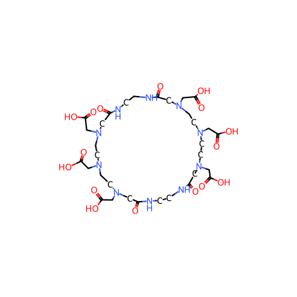 O=C(O)CN1CCN(CC(=O)O)CC(=O)NCCNC(=O)CN(CC(=O)O)CCN(CC(=O)O)CCN(CC(=O)O)CC(=O)NCCNC(=O)CN(CC(=O)O)CC1